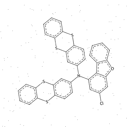 Clc1cc(N(c2ccc3c(c2)Sc2ccccc2S3)c2ccc3c(c2)Sc2ccccc2S3)c2c(c1)oc1ccccc12